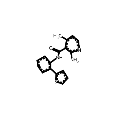 Cc1ccnc(N)c1C(=O)Nc1ccccc1-c1cccs1